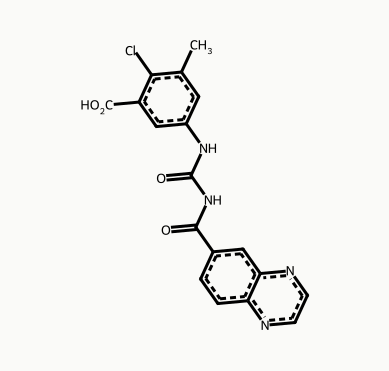 Cc1cc(NC(=O)NC(=O)c2ccc3nccnc3c2)cc(C(=O)O)c1Cl